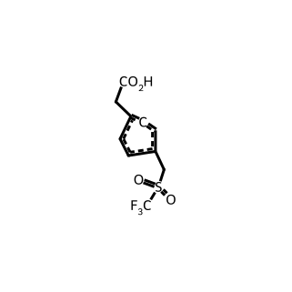 O=C(O)Cc1ccc(CS(=O)(=O)C(F)(F)F)cc1